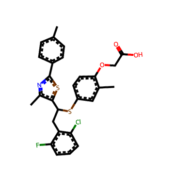 Cc1ccc(-c2nc(C)c(C(Cc3c(F)cccc3Cl)Sc3ccc(OCC(=O)O)c(C)c3)s2)cc1